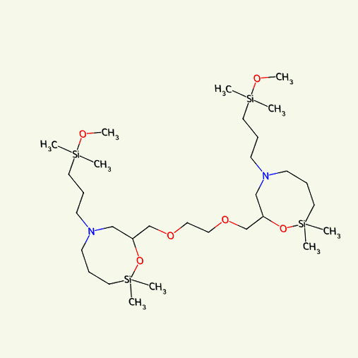 CO[Si](C)(C)CCCN1CCC[Si](C)(C)OC(COCCOCC2CN(CCC[Si](C)(C)OC)CCC[Si](C)(C)O2)C1